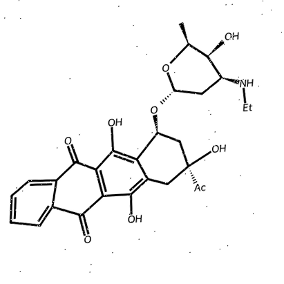 CCN[C@H]1C[C@H](O[C@H]2C[C@](O)(C(C)=O)Cc3c(O)c4c(c(O)c32)C(=O)c2ccccc2C4=O)O[C@@H](C)[C@H]1O